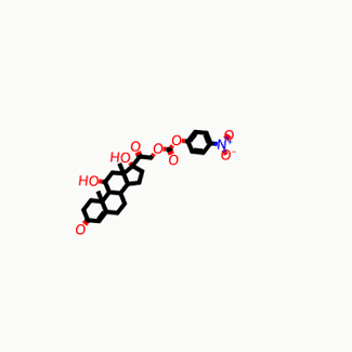 CC12CCC(=O)C=C1CCC1C2C(O)CC2(C)C1CCC2(O)C(=O)COC(=O)Oc1ccc([N+](=O)[O-])cc1